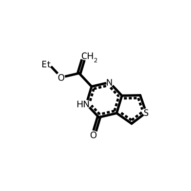 C=C(OCC)c1nc2cscc2c(=O)[nH]1